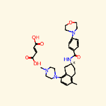 Cc1ccc(N2CCN(C)CC2)c2c1CC[C@@H](NC(=O)c1ccc(N3CCOCC3)cc1)C2.O=C(O)C=CC(=O)O